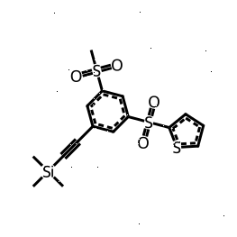 C[Si](C)(C)C#Cc1cc(S(C)(=O)=O)cc(S(=O)(=O)c2cccs2)c1